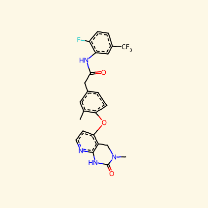 Cc1cc(CC(=O)Nc2cc(C(F)(F)F)ccc2F)ccc1Oc1ccnc2c1CN(C)C(=O)N2